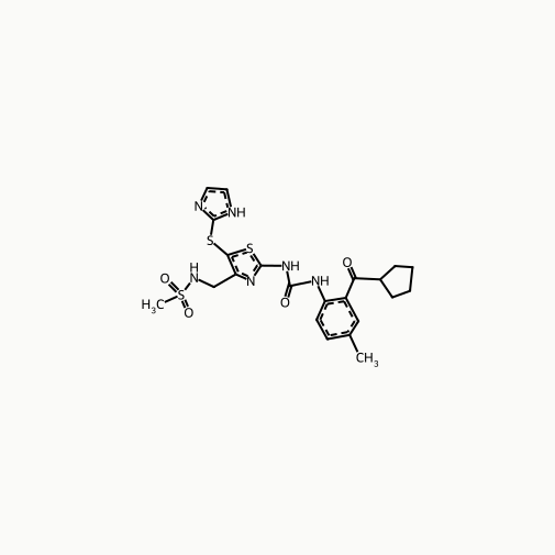 Cc1ccc(NC(=O)Nc2nc(CNS(C)(=O)=O)c(Sc3ncc[nH]3)s2)c(C(=O)C2CCCC2)c1